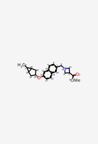 COC(=O)C1CN(Cc2ccc3cc(OC4CC5C(C)C5C4)ccc3c2)C1